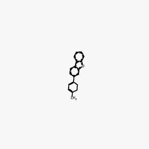 CC1=CC=C(c2ccc3c(c2)oc2ccccc23)CC1